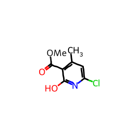 COC(=O)c1c(C)cc(Cl)nc1O